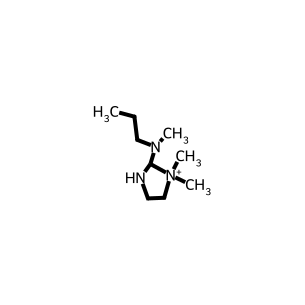 CCCN(C)C1NCC[N+]1(C)C